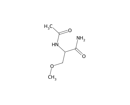 COCC(NC(C)=O)C(N)=O